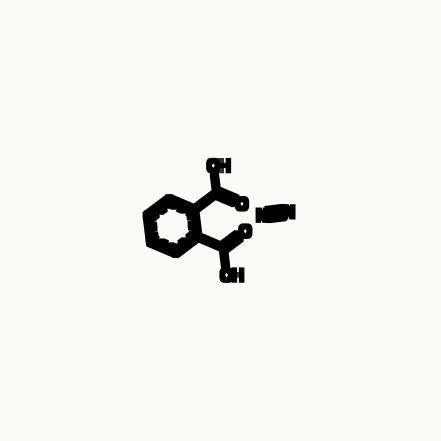 N#N.O=C(O)c1ccccc1C(=O)O